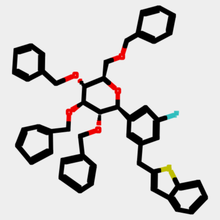 Fc1cc(Cc2cc3ccccc3s2)cc([C@@H]2O[C@H](COCc3ccccc3)[C@@H](OCc3ccccc3)[C@H](OCc3ccccc3)[C@H]2OCc2ccccc2)c1